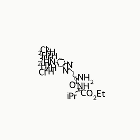 [2H]C([2H])(Cl)C([2H])([2H])N(c1ccc2c(c1)nc(CC[C@H](N)C(=O)N[C@@H](CC(C)C)C(=O)OCC)n2C)C([2H])([2H])C([2H])([2H])Cl